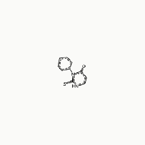 O=c1cc[nH]c(=S)n1-c1ccccc1